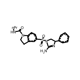 CCCNC(=O)N1CCc2cc(S(=O)(=O)N3CC(c4ccccc4)N=C3N)ccc21